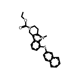 CCOC(=O)N1CCc2c(c3cccc(Sc4ccc5ccccc5c4)c3n2C)C1